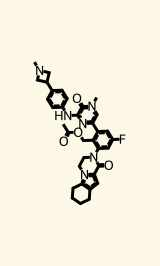 CC(=O)OCc1c(-c2cn(C)c(=O)c(Nc3ccc(C4CN(C)C4)cc3)n2)cc(F)cc1N1CCn2c(cc3c2CCCC3)C1=O